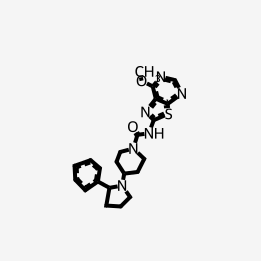 COc1ncnc2sc(NC(=O)N3CCC(N4CCCC4c4ccccc4)CC3)nc12